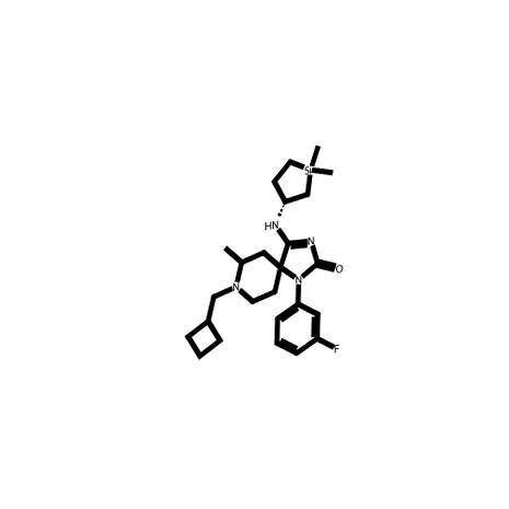 CC1CC2(CCN1CC1CCC1)C(N[C@@H]1CC[Si](C)(C)C1)=NC(=O)N2c1cccc(F)c1